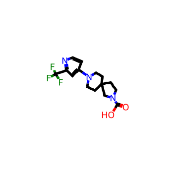 O=C(O)N1CCC2(CCN(c3ccnc(C(F)(F)F)c3)CC2)C1